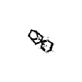 CCC1CC2CCC(C1)N2c1cnccn1